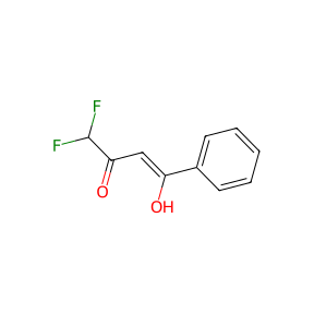 O=C(/C=C(\O)c1ccccc1)C(F)F